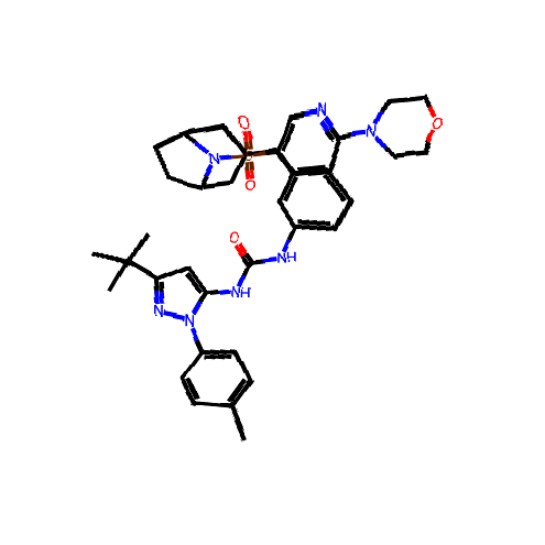 Cc1ccc(-n2nc(C(C)(C)C)cc2NC(=O)Nc2cccc(CC3CC4CCC(C3)N4S(=O)(=O)c3ccc(N4CCOCC4)nc3)c2)cc1